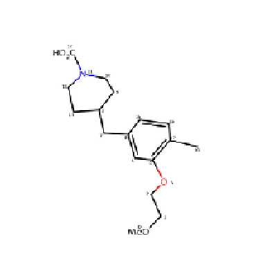 COCCOc1cc(CC2CCN(C(=O)O)CC2)ccc1C